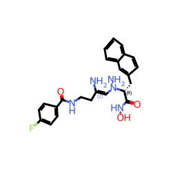 N/C(=C\N(N)[C@H](Cc1ccc2ccccc2c1)C(=O)NO)CCNC(=O)c1ccc(F)cc1